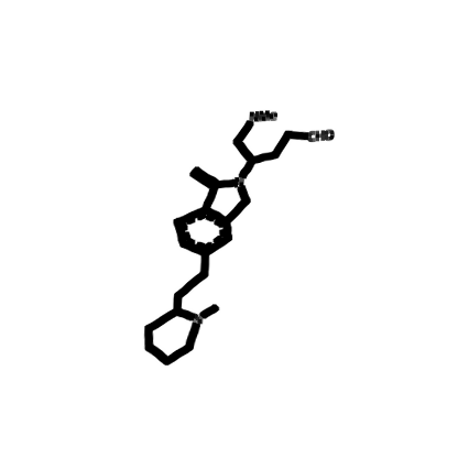 C=C1c2ccc(CCC3CCCCN3C)cc2CN1C(CCC=O)CNC